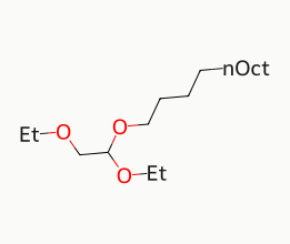 [CH2]COCC(OCC)OCCCCCCCCCCCC